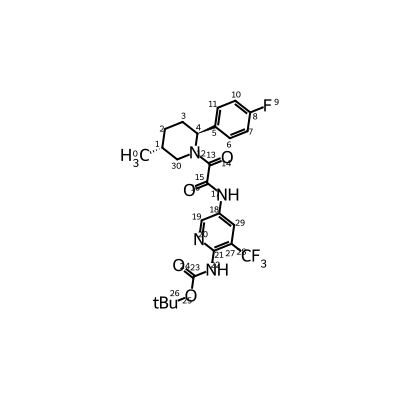 C[C@@H]1CC[C@@H](c2ccc(F)cc2)N(C(=O)C(=O)Nc2cnc(NC(=O)OC(C)(C)C)c(C(F)(F)F)c2)C1